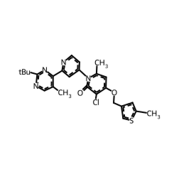 Cc1cc(COc2cc(C)n(-c3ccnc(-c4nc(C(C)(C)C)ncc4C)c3)c(=O)c2Cl)cs1